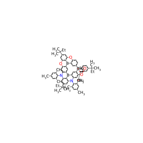 CCC(C)(C)c1cc2c3c(c1)Oc1cc4c(cc1B3c1cc(C(C)(C)C)ccc1O2)B1c2cc3c(cc2N(c2c(C)cc(C)cc2C)c2cc(C(C)(C)CC)cc(c21)N4c1c(C)cc(C)cc1C)Oc1cc(C(C)(C)CC)cc2c1B3c1cc(C(C)(C)C)ccc1O2